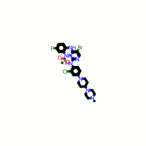 CN1CCN(C2CCN(c3ccc(Nc4ncc(Br)c(Nc5ccc(F)cc5NS(C)(=O)=O)n4)c(Cl)c3)CC2)CC1